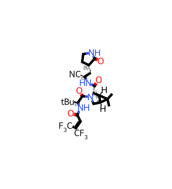 CC(C)(C)[C@H](NC(=O)C=C(C(F)(F)F)C(F)(F)F)C(=O)N1C[C@H]2[C@@H]([C@H]1C(=O)N[C@H](C#N)C[C@@H]1CCNC1=O)C2(C)C